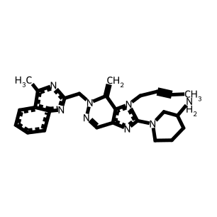 C=C1c2c(nc(N3CCCC(N)C3)n2CC#CC)C=NN1Cc1nc(C)c2ccccc2n1